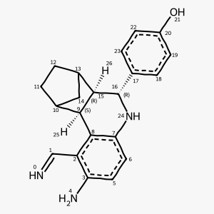 N=Cc1c(N)ccc2c1[C@H]1C3CCC(C3)[C@H]1[C@H](c1ccc(O)cc1)N2